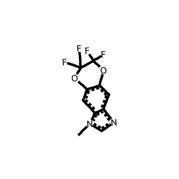 Cn1cnc2cc3c(cc21)OC(F)(F)C(F)(F)O3